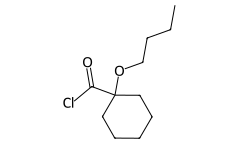 CCCCOC1(C(=O)Cl)CCCCC1